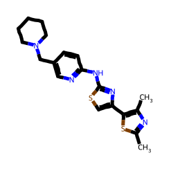 Cc1nc(C)c(-c2csc(Nc3ccc(CN4CCCCC4)cn3)n2)s1